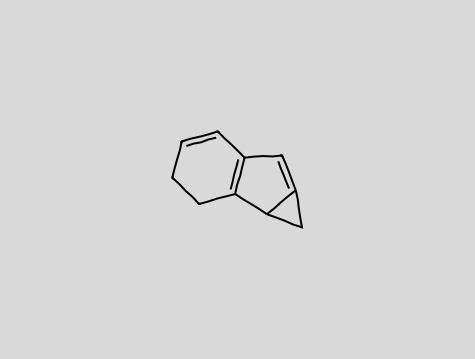 C1=CC2=C(CC1)C1CC1=C2